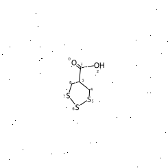 O=C(O)C1CSSSC1